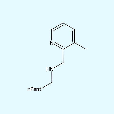 CCCCCCNCc1ncccc1C